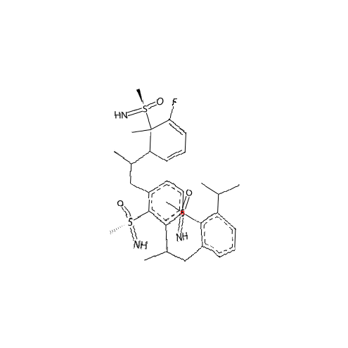 CC(C)c1cccc(CC(C)c2cccc(CC(C)C3C=CC=C(F)C3(C)[S@](C)(=N)=O)c2[S@@](C)(=N)=O)c1S(C)(=N)=O